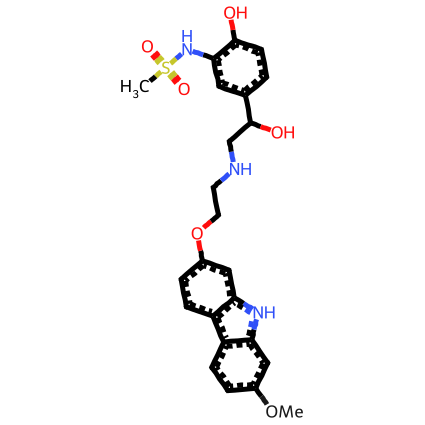 COc1ccc2c(c1)[nH]c1cc(OCCNCC(O)c3ccc(O)c(NS(C)(=O)=O)c3)ccc12